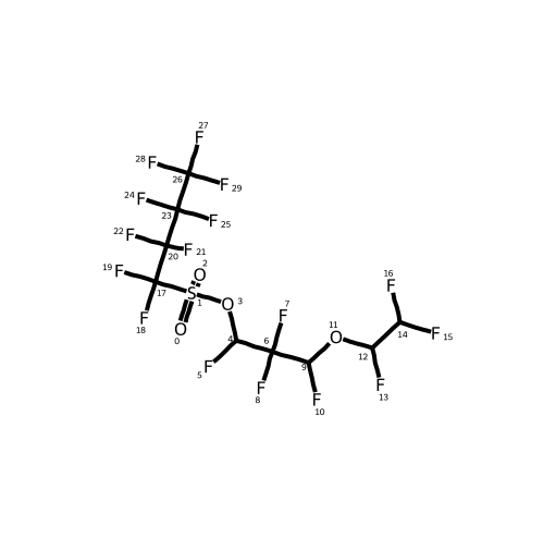 O=S(=O)(OC(F)C(F)(F)C(F)OC(F)C(F)F)C(F)(F)C(F)(F)C(F)(F)C(F)(F)F